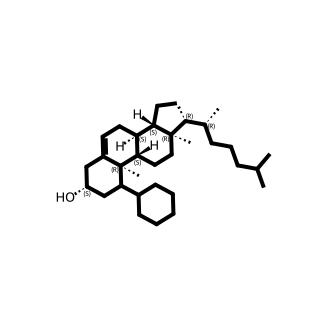 CC(C)CCC[C@@H](C)[C@H]1CC[C@H]2[C@@H]3CC=C4C[C@@H](O)CC(C5CCCCC5)[C@]4(C)[C@H]3CC[C@]12C